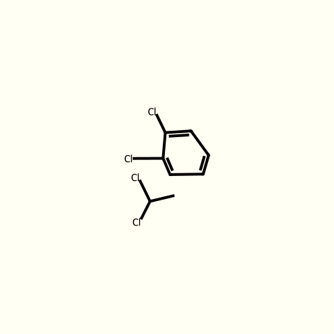 CC(Cl)Cl.Clc1ccccc1Cl